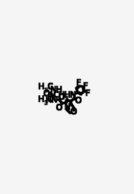 CNC(=O)C(C)(C)NC(=O)C(=O)c1cc(C(=O)Nc2cc(F)c(F)c(F)c2)c2n1CCOC2